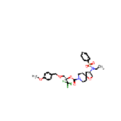 CCN([C@H]1COC2(CCN(C(=O)O[C@H](COCc3ccc(OC)cc3)C(F)(F)F)CC2)C1)S(=O)(=O)c1ccccc1